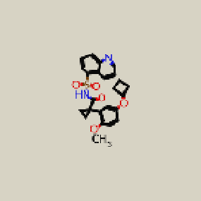 COc1ccc(OC2CCC2)cc1C1(C(=O)NS(=O)(=O)c2cccc3ncccc23)CC1